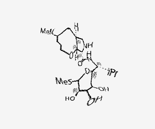 CNC1CCO[C@@H]2[C@H](CN[C@@H]2C(=O)N[C@H](C(C)C)[C@H]2OC(SC)[C@H](O)C(O)C2O)C1